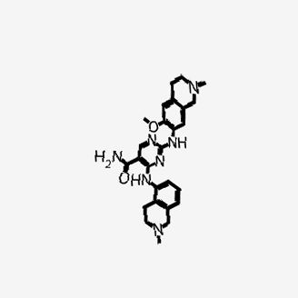 COc1cc2c(cc1Nc1ncc(C(N)=O)c(Nc3cccc4c3CCN(C)C4)n1)CN(C)CC2